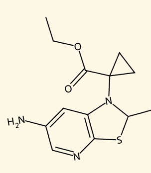 CCOC(=O)C1(N2c3cc(N)cnc3SC2C)CC1